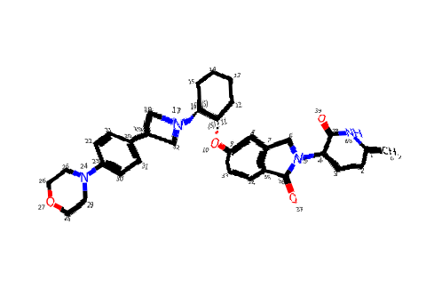 C=C1CCC(N2Cc3cc(O[C@H]4CCCC[C@@H]4N4CC(c5ccc(N6CCOCC6)cc5)C4)ccc3C2=O)C(=O)N1